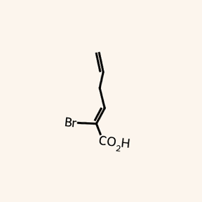 C=CC/C=C(\Br)C(=O)O